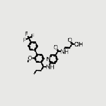 CCCC(Nc1ccc(C(=O)NCCC(=O)O)cn1)c1ccc(-c2ccc(C(F)(F)F)cc2)c(OC)c1